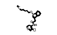 C=C=CCCCCOn1cc(CC(=O)Nc2ccncc2Cl)c2ccccc21